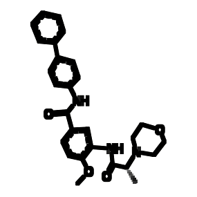 COc1ccc(C(=O)Nc2ccc(-c3ccccc3)cc2)cc1NC(=O)[C@@H](C)N1CCOCC1